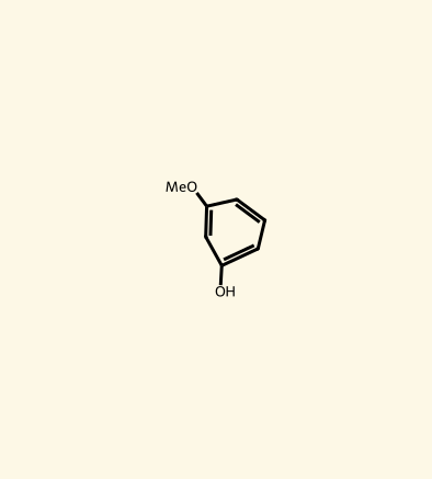 [CH2-][OH+]c1cccc(O)c1